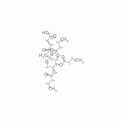 CCCC(=O)O[C@H]1[C@@H](OC(=O)CCC)CO[C@](C)(OC(=O)/C=C/C(=O)O)[C@@H]1OC(=O)CCC